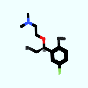 COc1ccc(F)cc1[C@H](CC(C)C)OCCN(C)C